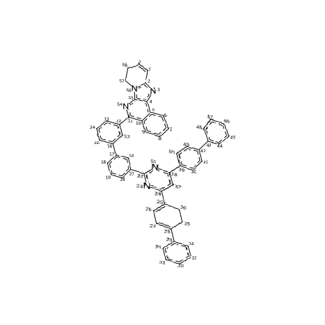 C1=Cc2nc3c4ccccc4c(-c4cccc(-c5cccc(-c6nc(C7=CC=C(c8ccccc8)CC7)cc(-c7ccc(-c8ccccc8)cc7)n6)c5)c4)nc3n2CC1